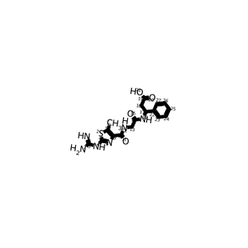 Cc1sc(NC(=N)N)nc1C(=O)NCC(=O)NC(CC(=O)O)c1ccccc1